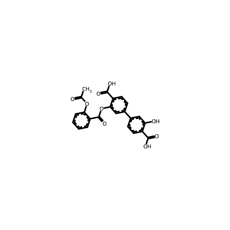 CC(=O)Oc1ccccc1C(=O)Oc1cc(-c2ccc(C(=O)O)c(O)c2)ccc1C(=O)O